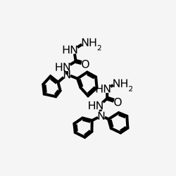 NNC(=O)NN(c1ccccc1)c1ccccc1.NNC(=O)NN(c1ccccc1)c1ccccc1